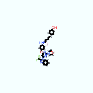 O=C(CCCC[C@H]1CC[C@@H](O)CC1)N[C@H]1CC[C@H](Oc2cc(-n3c(C(F)F)nc4ccccc43)nc(N3CCOCC3)n2)CC1